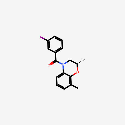 Cc1cccc2c1O[C@@H](C)CN2C(=O)c1cccc(I)c1